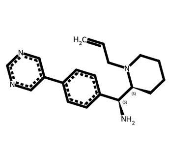 C=CCN1CCCC[C@H]1[C@@H](N)c1ccc(-c2cncnc2)cc1